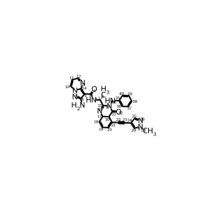 C[C@@H](NC(=O)c1c(N)nn2cccnc12)C1=NC2C=CC=C(C#Cc3cnn(C)c3)C2C(=O)N1Nc1ccccc1